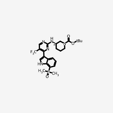 CC(C)(C)OC(=O)N1CCC[C@@H](Nc2ncc(C(F)(F)F)c(-c3c[nH]c4c(P(C)(C)=O)cccc34)n2)C1